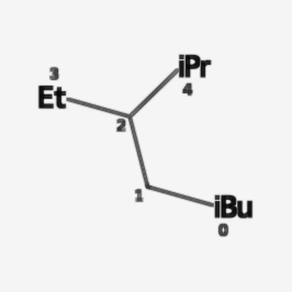 CCC(C)CC(CC)C(C)C